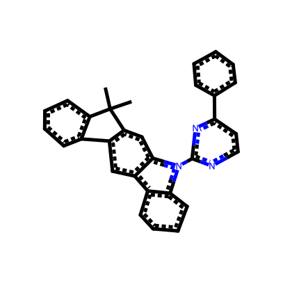 CC1(C)c2ccccc2-c2cc3c4ccccc4n(-c4nccc(-c5ccccc5)n4)c3cc21